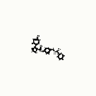 O=C(NCc1ccc(NC(=O)c2sccc2-c2ccc(C(F)(F)F)cc2)cc1)c1ccccn1